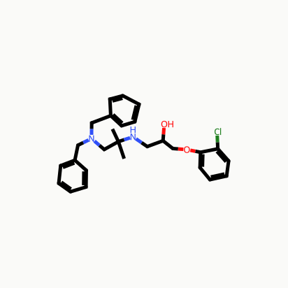 CC(C)(CN(Cc1ccccc1)Cc1ccccc1)NCC(O)COc1ccccc1Cl